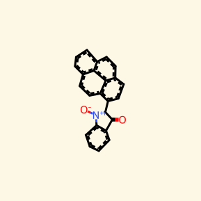 O=C1C(c2ccc3ccc4cccc5ccc2c3c45)=[N+]([O-])c2ccccc21